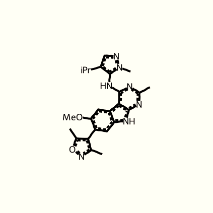 COc1cc2c(cc1-c1c(C)noc1C)[nH]c1nc(C)nc(Nc3c(C(C)C)cnn3C)c12